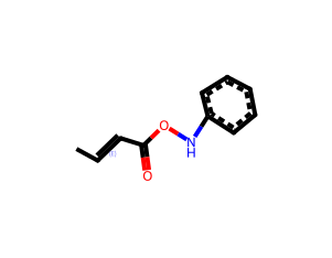 C/C=C/C(=O)ONc1ccccc1